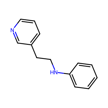 c1ccc(NCCc2cccnc2)cc1